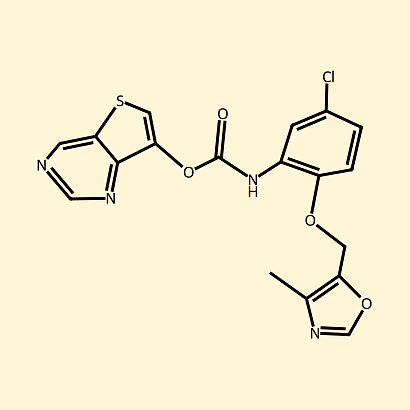 Cc1ncoc1COc1ccc(Cl)cc1NC(=O)Oc1csc2cncnc12